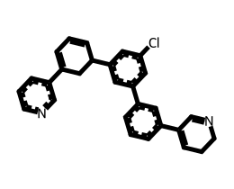 Clc1cc(-c2cccc(C3=CCCN=C3)c2)cc(C2C=CC=C(c3cccnc3)C2)c1